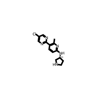 Cc1nc(N[C@H]2CCNC2)ccc1-c1ncc(Cl)cn1